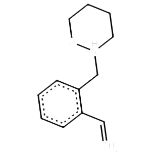 C=Cc1ccccc1C[SiH]1CCCCO1